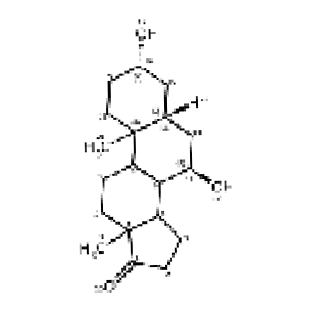 CC12CCC3C(C1CCC2=O)[C@H](O)C[C@H]1C[C@@H](O)CCC31C